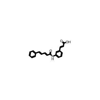 O=C(O)C=Cc1cccc(NC(=O)C=CC=Cc2ccccc2)c1